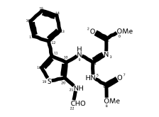 COC(=O)N=C(NC(=O)OC)Nc1c(-c2ccccc2)csc1NC=O